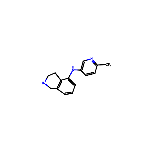 FC(F)(F)c1ccc(Nc2cccc3c2CCNC3)cn1